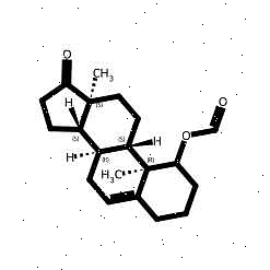 C[C@]12CC[C@H]3[C@@H](CC=C4CCCC(OC=O)[C@@]43C)[C@@H]1CCC2=O